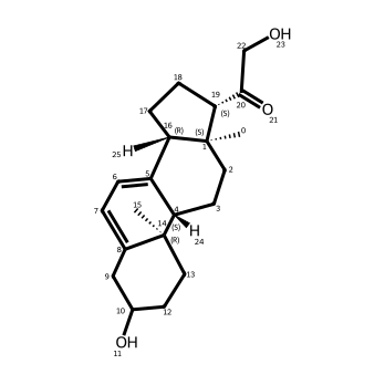 C[C@]12CC[C@H]3C(=CC=C4CC(O)CC[C@@]43C)[C@@H]1CC[C@@H]2C(=O)CO